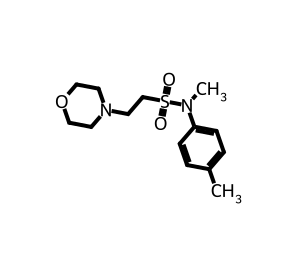 Cc1ccc(N(C)S(=O)(=O)CCN2CCOCC2)cc1